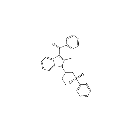 CCC(CS(=O)(=O)c1ccccn1)n1c(C)c(C(=O)c2ccccc2)c2ccccc21